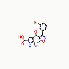 Cc1onc(-c2cccc(Br)c2)c1C(=O)c1c[nH]c(C(=O)O)c1